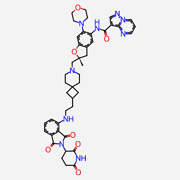 C[C@]1(CN2CCC3(CC2)CC(CCNc2cccc4c2C(=O)N(C2CCC(=O)NC2=O)C4=O)C3)Cc2cc(NC(=O)c3cnn4cccnc34)c(N3CCOCC3)cc2O1